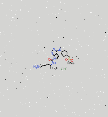 CNS(=O)(=O)C[C@H]1CC[C@H](N(C)c2ncnc3c2ccn3C(=O)NC(CCCCN)C(=O)O)CC1.Cl